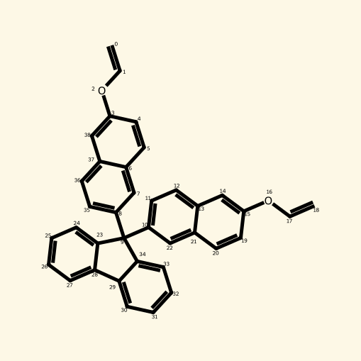 C=COc1ccc2cc(C3(c4ccc5cc(OC=C)ccc5c4)c4ccccc4-c4ccccc43)ccc2c1